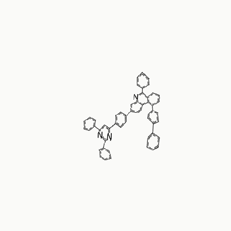 c1ccc(-c2ccc(-c3cccc4c(-c5ccccc5)nc5cc(-c6ccc(-c7cc(-c8ccccc8)nc(-c8ccccc8)n7)cc6)ccc5c34)cc2)cc1